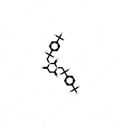 O=C1CC(=O)N(CC(F)(F)c2ccc(C(F)(F)F)cc2)C(=O)N1CC(F)(F)c1ccc(C(F)(F)F)cc1